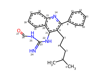 CC(C)CCCc1c(-c2ccccc2)nc2ccccc2c1NC(=N)NC=O